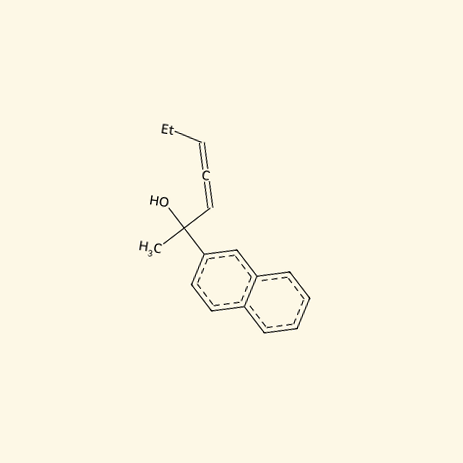 CCC=C=CC(C)(O)c1ccc2ccccc2c1